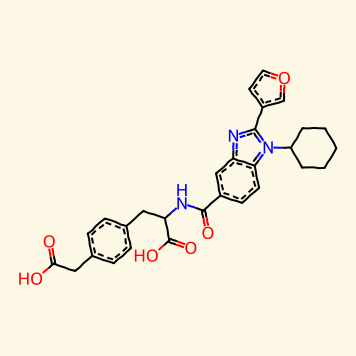 O=C(O)Cc1ccc(CC(NC(=O)c2ccc3c(c2)nc(-c2ccoc2)n3C2CCCCC2)C(=O)O)cc1